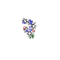 Cc1ccc(C(=O)Nc2cc(C(F)(F)F)ccc2N2CCOCC2)cc1-n1cc(-c2cccnc2)nn1